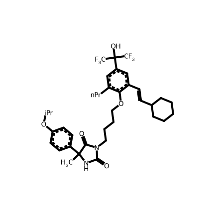 CCCc1cc(C(O)(C(F)(F)F)C(F)(F)F)cc(/C=C/C2CCCCC2)c1OCCCCN1C(=O)NC(C)(c2ccc(OC(C)C)cc2)C1=O